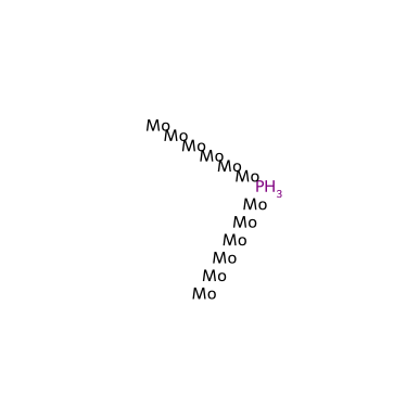 P.[Mo].[Mo].[Mo].[Mo].[Mo].[Mo].[Mo].[Mo].[Mo].[Mo].[Mo].[Mo]